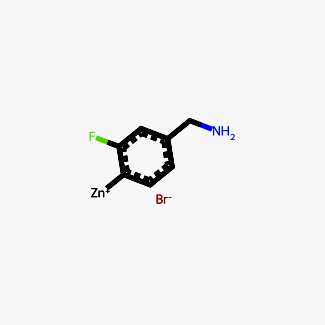 NCc1cc[c]([Zn+])c(F)c1.[Br-]